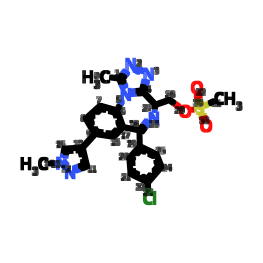 Cc1nnc2n1-c1ccc(-c3cnn(C)c3)cc1C(c1ccc(Cl)cc1)=NC2COS(C)(=O)=O